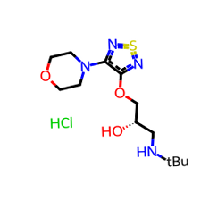 CC(C)(C)NC[C@H](O)COc1nsnc1N1CCOCC1.Cl